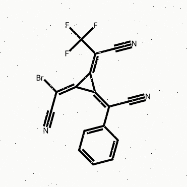 N#CC(=C1C(=C(\Br)C#N)/C1=C(/C#N)c1ccccc1)C(F)(F)F